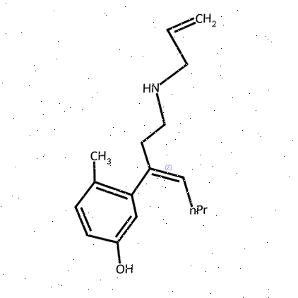 C=CCNCC/C(=C/CCC)c1cc(O)ccc1C